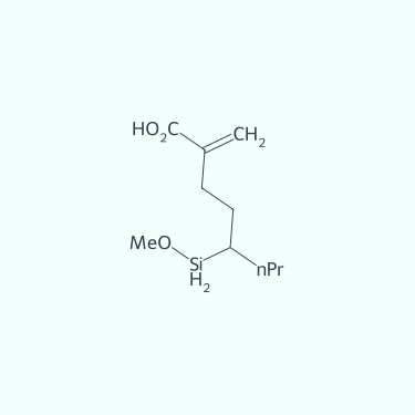 C=C(CCC(CCC)[SiH2]OC)C(=O)O